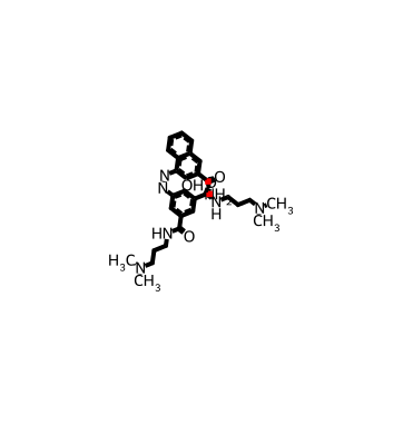 CN(C)CCCNC(=O)c1cc(/N=N\c2c(O)c(C(N)=O)cc3ccccc23)cc(C(=O)NCCCN(C)C)c1